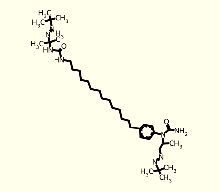 CC(CN=NC(C)(C)C)N(C(N)=O)c1ccc(CCCCCCCCCCCCCCNC(=O)NC(C)(C)N=NC(C)(C)C)cc1